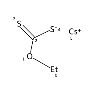 CCOC(=S)[S-].[Cs+]